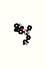 Cc1ccc(-c2cccc(-c3nc(-c4ccccc4)nc(-c4ccc5c(c4)C4(c6ccccc6Oc6ccccc64)c4ccccc4-5)n3)c2)c(C)n1